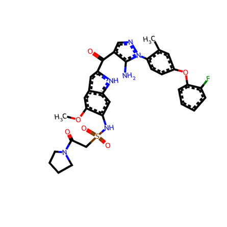 COc1cc2cc(C(=O)c3cnn(-c4ccc(Oc5ccccc5F)cc4C)c3N)[nH]c2cc1NS(=O)(=O)CC(=O)N1CCCC1